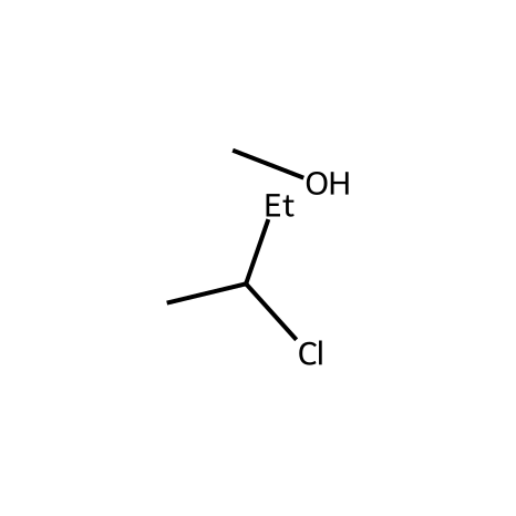 CCC(C)Cl.CO